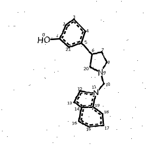 Oc1cccc(C2CCN(Cn3ccc4ccccc43)C2)c1